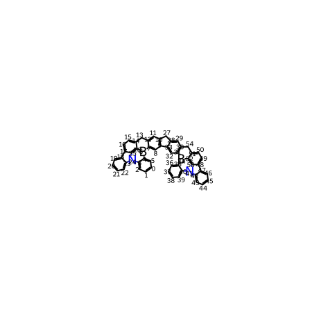 c1ccc2c(c1)B1c3cc4c(cc3Cc3ccc5c6ccccc6n-2c5c31)Cc1cc2c(cc1-4)B1c3ccccc3-n3c4ccccc4c4ccc(c1c43)C2